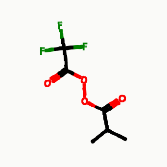 CC(C)C(=O)OOC(=O)C(F)(F)F